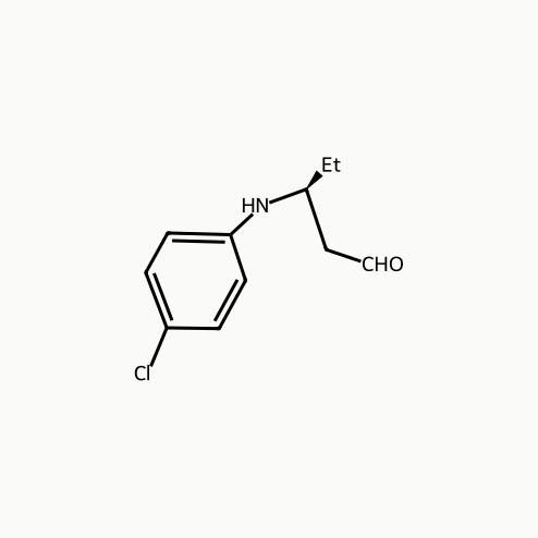 CC[C@@H](CC=O)Nc1ccc(Cl)cc1